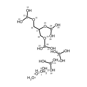 O.O.O.O.OB(O)O.OB(O)O.OB(O)OCC(COB(O)O)OB(O)O